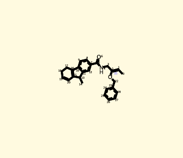 C/C=C(/CNC(=O)c1ccc2c(c1)C(C)C1=C2CCC=C1)OCc1ccccc1